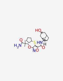 CC(C)(COc1noc(C(=O)N[C@@H]2C3CC4C[C@H](O)CC2(C4)C3)c1SC1CCCC1)C(N)=O